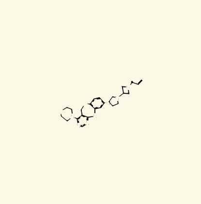 C=CC(=O)N1CC(N2CC[C@@H](c3ccc4c(c3)Nc3ncnc(N5CCOCC5)c3CO4)C2)C1